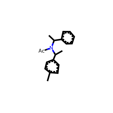 CC(=O)N(C(C)c1ccccc1)C(C)c1ccc(C)cc1